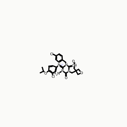 CC(C)Oc1ccc(/N=c2\n(N)c(=O)n(CC3(CN=O)COC3)c(=O)n2Cc2ccc(Cl)cc2)cc1Cl